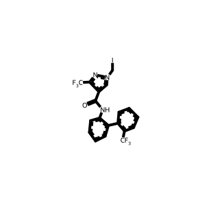 O=C(Nc1ccccc1-c1ccccc1C(F)(F)F)c1cn(CI)nc1C(F)(F)F